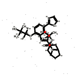 CC(C)(C)OC(=O)N1C2CCC1CN(c1nc3c(OC(F)(F)C(C)(C)O)ccc(-c4nccs4)c3o1)C2